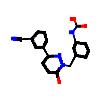 N#Cc1cccc(-c2ccc(=O)n(Cc3cccc(NC(=O)O)c3)n2)c1